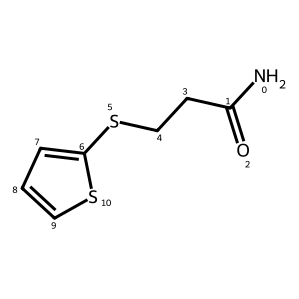 NC(=O)CCSc1cccs1